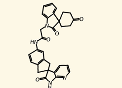 O=C1CCC2(CC1)C(=O)N(CC(=O)Nc1ccc3c(c1)CC1(C3)C(=O)Nc3ncccc31)c1ccccc12